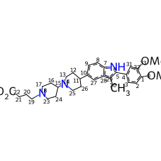 COc1ccc(-c2[nH]c3ccc(C4CCN(C5CCN(CCCC(=O)O)CC5)CC4)cc3c2C)cc1OC